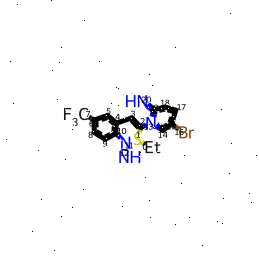 CCS/C(=C\c1cc(C(F)(F)F)ccc1N=N)n1cc(Br)ccc1=N